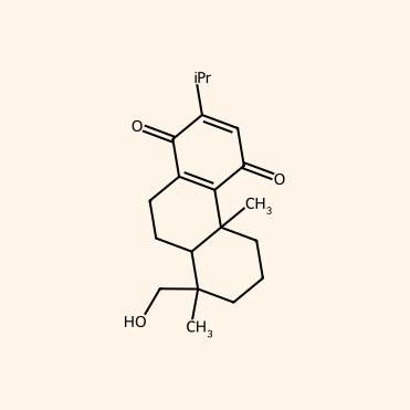 CC(C)C1=CC(=O)C2=C(CCC3C(C)(CO)CCCC23C)C1=O